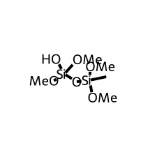 CO[Si](C)(OC)O[Si](O)(OC)OC